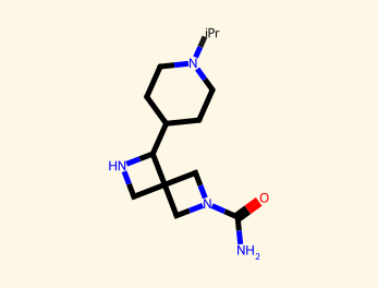 CC(C)N1CCC(C2NCC23CN(C(N)=O)C3)CC1